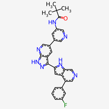 CC(C)(C)C(=O)Nc1cncc(-c2cnc3[nH]nc(-c4cc5c(-c6cccc(F)c6)cncc5[nH]4)c3c2)c1